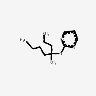 CCCCC(C)(CCC)Oc1ncccn1